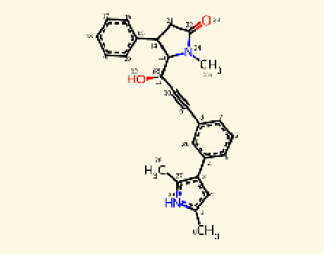 Cc1cc(-c2cccc(C#C[C@@H](O)C3C(c4ccccc4)CC(=O)N3C)c2)c(C)[nH]1